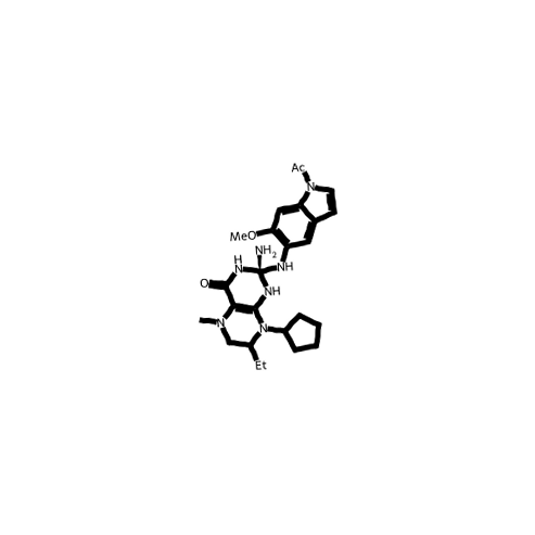 CCC1CN(C)C2=C(N[C@@](N)(Nc3cc4ccn(C(C)=O)c4cc3OC)NC2=O)N1C1CCCC1